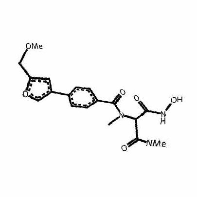 CNC(=O)C(C(=O)NO)N(C)C(=O)c1ccc(-c2coc(COC)c2)cc1